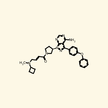 CN(C/C=C/C(=O)N1CC[C@@H](n2nc(-c3ccc(Oc4ccccc4)cc3)c3c(N)ncnc32)C1)C1CCC1